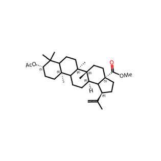 C=C(C)[C@@H]1CC[C@]2(C(=O)OC)CC[C@]3(C)[C@H](CCC4[C@@]5(C)CC[C@H](OC(C)=O)C(C)(C)C5CC[C@]43C)C12